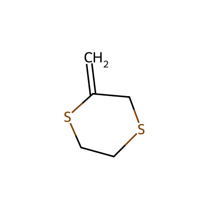 C=C1CSCCS1